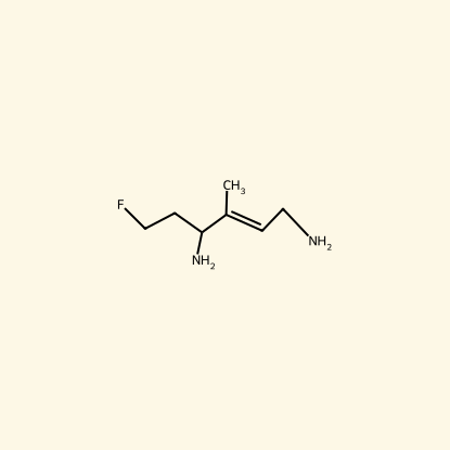 C/C(=C\CN)C(N)CCF